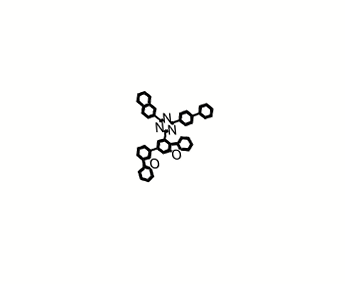 c1ccc(-c2ccc(-c3nc(-c4ccc5ccccc5c4)nc(-c4cc(-c5cccc6c5oc5ccccc56)cc5oc6ccccc6c45)n3)cc2)cc1